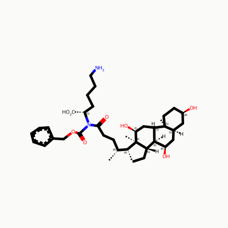 C[C@H](CCC(=O)N(C(=O)OCc1ccccc1)[C@@H](CCCCN)C(=O)O)[C@H]1CC[C@H]2[C@@H]3[C@H](O)C[C@@H]4C[C@H](O)CC[C@]4(C)[C@H]3C[C@H](O)[C@]12C